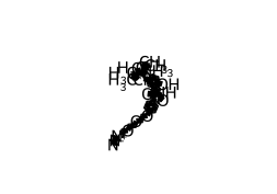 CC(C)(C)N[C@@H](Cc1ccc(O)c(-n2[nH]c(=O)n(-c3ccc(OCCOCCOCCN=[N+]=[N-])cc3)c2=O)c1)C(=O)C(C)(C)C